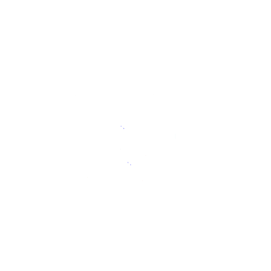 O=S(=O)(c1ccc2ccccc2c1)N1CC(S)CC1CN(Cc1cc(F)ccc1F)Cc1cc(F)ccc1F